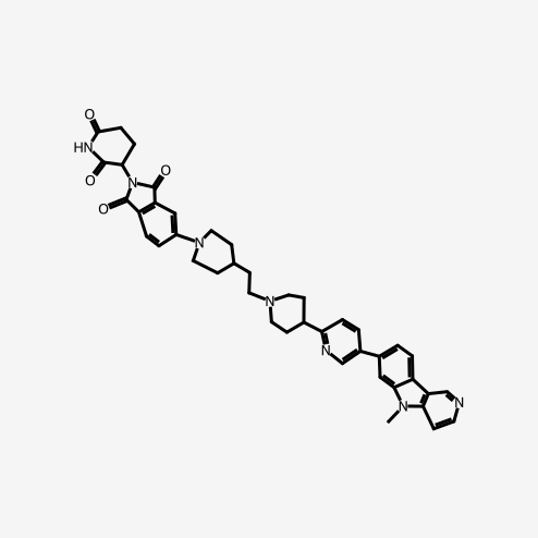 Cn1c2ccncc2c2ccc(-c3ccc(C4CCN(CCC5CCN(c6ccc7c(c6)C(=O)N(C6CCC(=O)NC6=O)C7=O)CC5)CC4)nc3)cc21